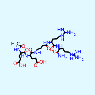 CC(=O)NC(CCC(=O)O)C(=O)NC(CCC(=O)O)C(=O)NCCCC(=O)NC(CCCNC(=N)N)C(=O)NC(CCCNC(=N)N)C(N)=O